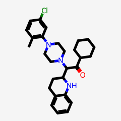 Cc1ccc(Cl)cc1N1CCN(C(C(=O)C2CCCCC2)C2CCc3ccccc3N2)CC1